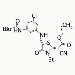 C=CCOC(=O)C(C#N)=c1sc(=CNc2cc(Cl)cc(NC(=O)C(C)(C)C)c2)c(=O)n1CC